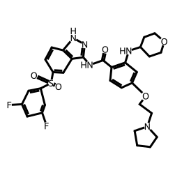 O=C(Nc1n[nH]c2ccc(S(=O)(=O)c3cc(F)cc(F)c3)cc12)c1ccc(OCCN2CCCC2)cc1NC1CCOCC1